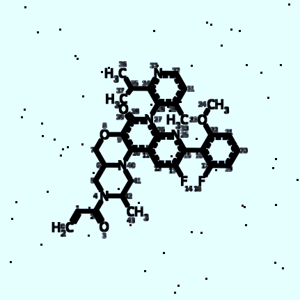 C=CC(=O)N1CC2COc3c(c4cc(F)c(-c5c(F)cccc5OC)nc4n(-c4c(C)ccnc4C(C)C)c3=O)N2CC1C